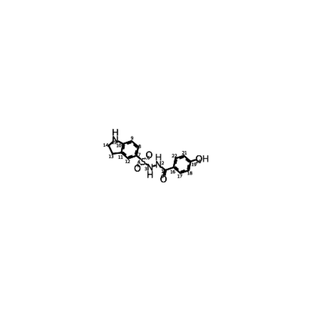 O=C(NNS(=O)(=O)c1ccc2c(c1)CCN2)c1ccc(O)cc1